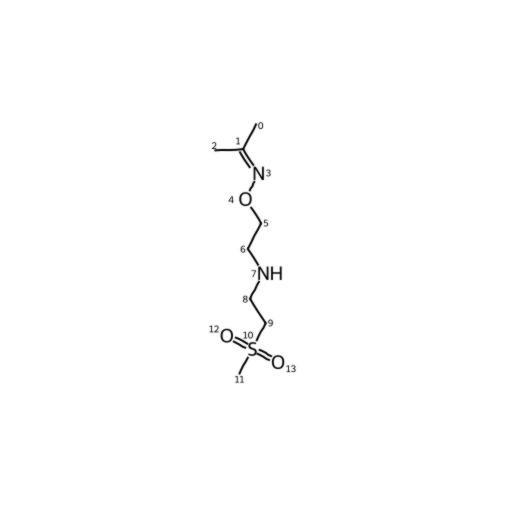 CC(C)=NOCCNCCS(C)(=O)=O